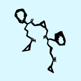 c1ccc(C(CCCNC2CC2)NCC2CC2CNC(CCCNC2CC2)c2ccccc2)cc1